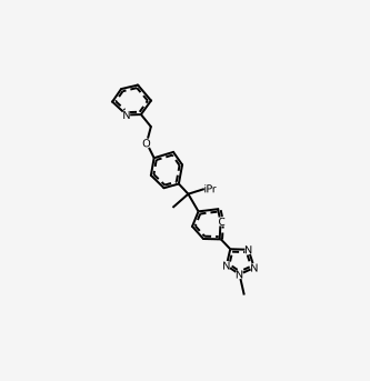 CC(C)C(C)(c1ccc(OCc2ccccn2)cc1)c1ccc(-c2nnn(C)n2)cc1